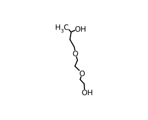 CC(O)CCOCCOCCO